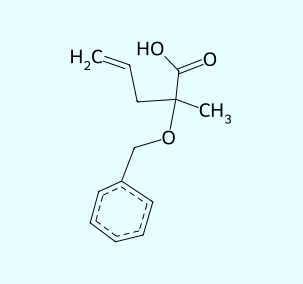 C=CCC(C)(OCc1ccccc1)C(=O)O